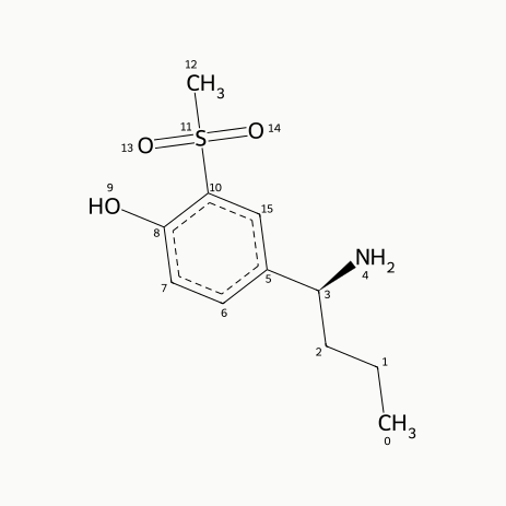 CCC[C@H](N)c1ccc(O)c(S(C)(=O)=O)c1